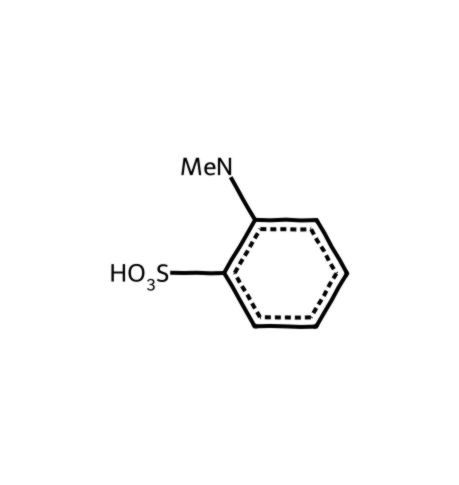 CNc1ccccc1S(=O)(=O)O